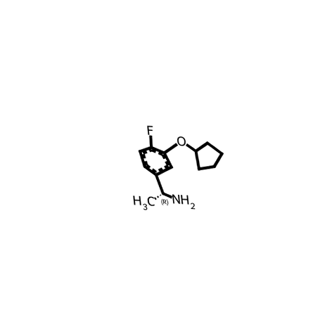 C[C@@H](N)c1ccc(F)c(OC2CCCC2)c1